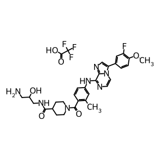 COc1ccc(-c2cnc3c(Nc4ccc(C(=O)N5CCC(C(=O)NCC(O)CN)CC5)c(C)c4)nccn23)cc1F.O=C(O)C(F)(F)F